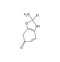 CCC1(N)NC2=C(CC(=O)C=C2)O1